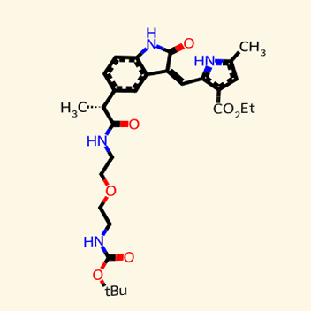 CCOC(=O)c1cc(C)[nH]c1/C=C1\C(=O)Nc2ccc([C@@H](C)C(=O)NCCOCCNC(=O)OC(C)(C)C)cc21